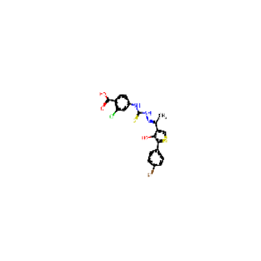 C/C(=N\NC(=S)Nc1ccc(C(=O)O)c(Cl)c1)c1csc(-c2ccc(Br)cc2)c1O